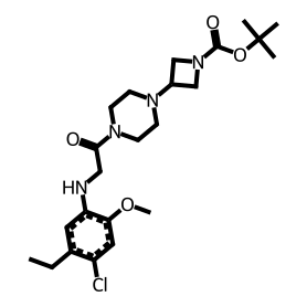 CCc1cc(NCC(=O)N2CCN(C3CN(C(=O)OC(C)(C)C)C3)CC2)c(OC)cc1Cl